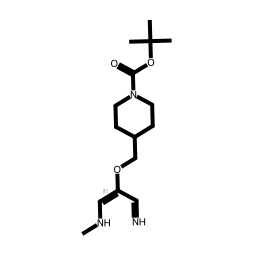 CN/C=C(\C=N)OCC1CCN(C(=O)OC(C)(C)C)CC1